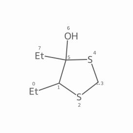 CCC1S[C]SC1(O)CC